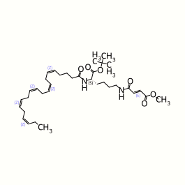 CC/C=C\C/C=C\C/C=C\C/C=C\C/C=C\CCCC(=O)N[C@@H](CCCCNC(=O)/C=C/C(=O)OC)C(=O)OC(C)(C)C